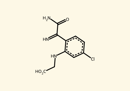 N=C(C(N)=O)c1ccc(Cl)cc1NCC(=O)O